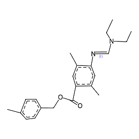 CCN(/C=N/c1cc(C)c(C(=O)OCc2ccc(C)cc2)cc1C)CC